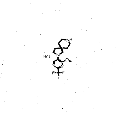 COc1nc(C(F)(F)F)ncc1N1CCC2(CCNCC2)C1.Cl